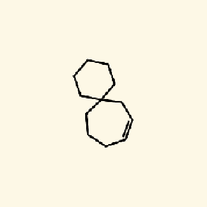 C1=CCC2(CCC1)CCCCC2